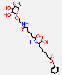 C[C@@H]1O[C@@H](OCCNC(=O)CCCCC(=O)NC(CCCCCC(=O)OCc2ccccc2)C(=O)O)[C@@H](O)[C@H](O)[C@@H]1O